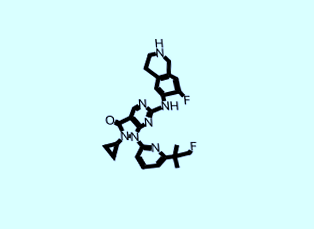 CC(C)(CF)c1cccc(-n2c3nc(Nc4cc5c(cc4F)CNCC5)ncc3c(=O)n2C2CC2)n1